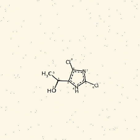 CC(O)c1[nH]c(Cl)nc1Cl